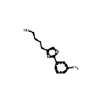 Cc1cccc(-c2nc(CCCCO)co2)c1